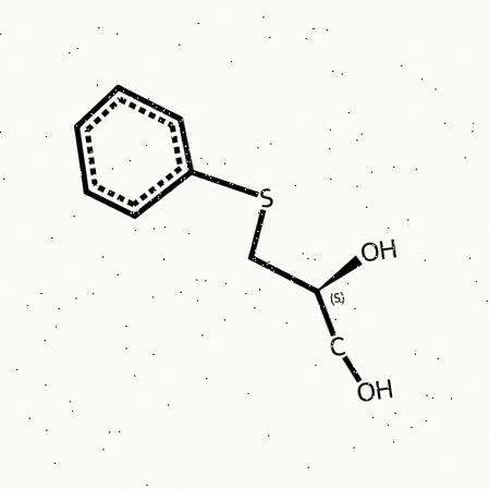 OC[C@H](O)CSc1ccccc1